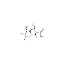 O=C(O)c1c2n3c4c(c(F)c(F)cc4c1=O)OCC3SC2